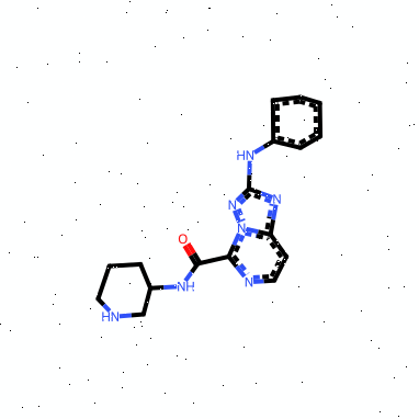 O=C(NC1CCCNC1)c1nccc2nc(Nc3ccccc3)nn12